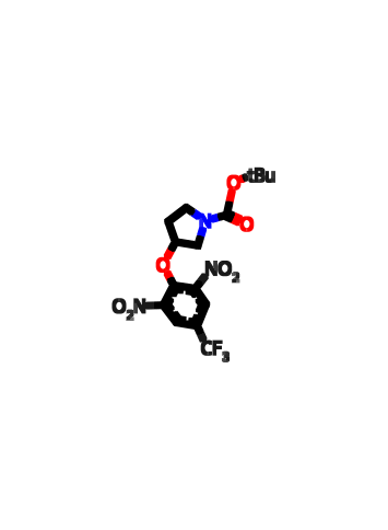 CC(C)(C)OC(=O)N1CCC(Oc2c([N+](=O)[O-])cc(C(F)(F)F)cc2[N+](=O)[O-])C1